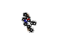 c1cc(-c2ccc3ccccc3c2)cc(N(c2cccc(-c3ccc4c(c3)sc3ccccc34)c2)c2ccccc2-c2cccc3sc4ccccc4c23)c1